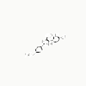 O=C(O)c1nc(-c2ccc(CO)cc2)[nH]c1-c1ccc(Cl)cc1